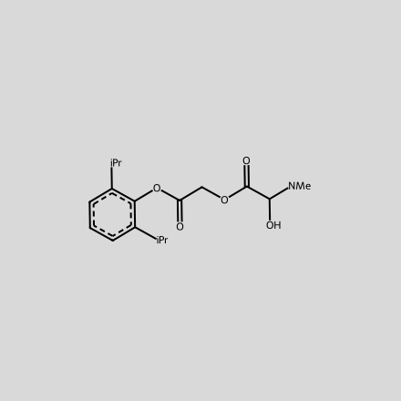 CNC(O)C(=O)OCC(=O)Oc1c(C(C)C)cccc1C(C)C